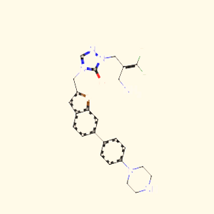 NCC(Cn1ncn(Cc2cc3ccc(-c4ccc(N5CCNCC5)cc4)cc3s2)c1=O)=C(F)F